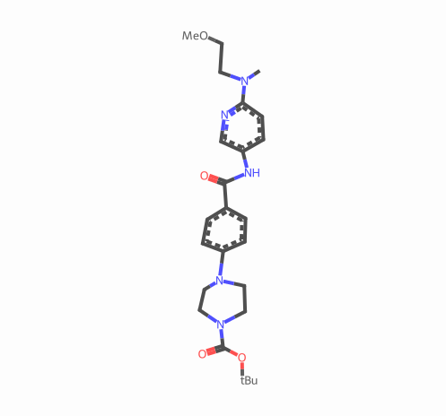 COCCN(C)c1ccc(NC(=O)c2ccc(N3CCN(C(=O)OC(C)(C)C)CC3)cc2)cn1